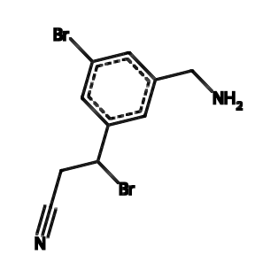 N#CCC(Br)c1cc(Br)cc(CN)c1